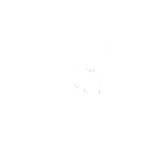 CC(C)[C@H]1CC[C@H](n2cc(NC(=O)c3cccc(F)c3)c(C(F)F)n2)CC1